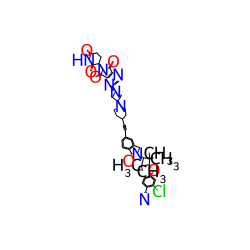 CC1(C)[C@H](Oc2ccc(C#N)c(Cl)c2)C(C)(C)[C@H]1N1Cc2cc(C#CC3CCN(C4CN(c5cnc6c(n5)C(=O)N(C5CCC(=O)NC5=O)C6=O)C4)CC3)ccc2C1=O